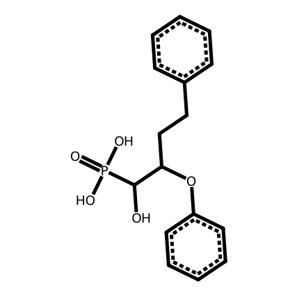 O=P(O)(O)C(O)C(CCc1ccccc1)Oc1ccccc1